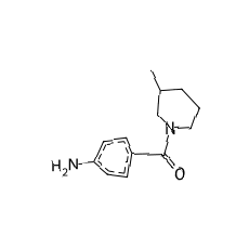 CC1CCCN(C(=O)c2ccc(N)cc2)C1